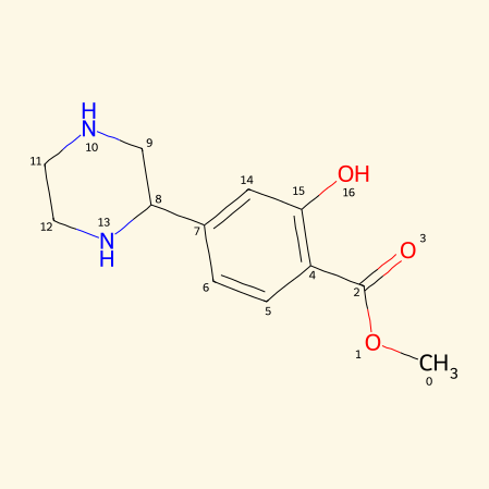 COC(=O)c1ccc(C2CNCCN2)cc1O